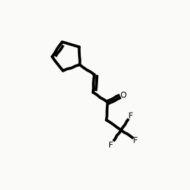 O=C(C=CC1CC=CC1)CC(F)(F)F